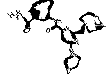 NC(=O)c1cccc(NC(=O)c2cc(N3CCOCC3)nc(N3CCOCC3)n2)c1